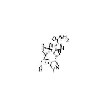 CC[C@@H]1CN(C(=O)CC#N)C[C@H]1Nc1c(C(N)=O)cnn2cc(-c3ccc(C)nc3)cc12